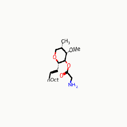 CCCCCCCC/C=C/[C@@H]1OC[C@H](C)[C@H](OC)[C@H]1OC(=O)CN